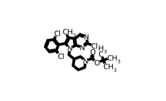 Cc1c(-c2c(Cl)cccc2Cl)n(CC2CCCN(C(=O)OC(C)(C)C)C2)c2nc(Cl)ncc12